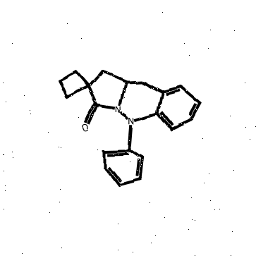 O=C1N2C(Cc3ccccc3N2c2ccccc2)CC12CCC2